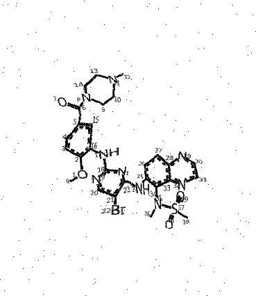 COc1ccc(C(=O)N2CCN(C)CC2)cc1Nc1ncc(Br)c(Nc2ccc3nccnc3c2N(C)S(C)(=O)=O)n1